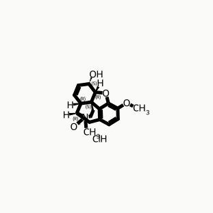 COc1ccc2c3c1O[C@H]1[C@@H](O)C=C[C@H]4[C@@H](C2)[N+](C)([O-])CC[C@@]341.Cl